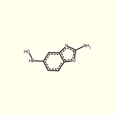 Nc1nc2cc(BO)ccc2o1